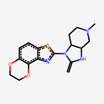 C=C1NC2CN(C)CCC2N1c1nc2c3c(ccc2s1)OCCO3